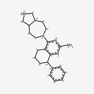 Nc1nc2c(c(N3CCC4CNCC4CC3)n1)CCCC2c1ccccc1